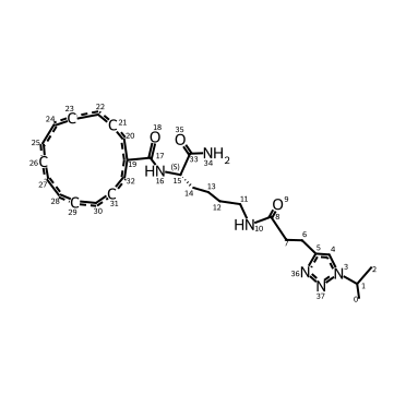 CC(C)n1cc(CCC(=O)NCCCC[C@H](NC(=O)c2ccccccccccccc2)C(N)=O)nn1